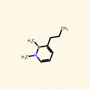 CCCC1=CC=CN(C)B1C